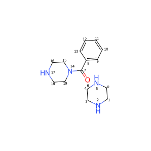 C1CNCCN1.O=C(c1ccccc1)N1CCNCC1